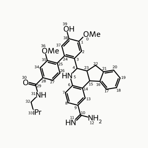 COc1cc(C2Nc3ccc(C(=N)N)cc3C3c4ccccc4CC23)c(-c2ccc(C(=O)NCC(C)C)cc2OC)cc1O